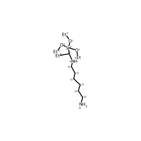 CCO[Si](OCC)(OCC)C(CC)NCCCCCCN